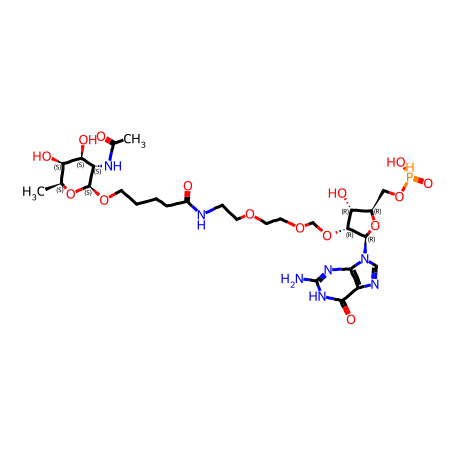 CC(=O)N[C@@H]1[C@@H](OCCCCC(=O)NCCOCCOCO[C@@H]2[C@H](O)[C@@H](CO[PH](=O)O)O[C@H]2n2cnc3c(=O)[nH]c(N)nc32)O[C@@H](C)[C@@H](O)[C@H]1O